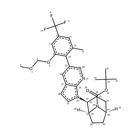 COCOc1cc(C(F)(F)F)cc(C)c1-c1cc2ccn([C@H]3CC[C@H]4CC[C@@H]3N4C(=O)OC(C)(C)C)c2nn1